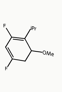 COC1CC(F)=CC(F)=C1C(C)C